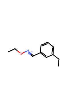 CCO/N=[C]/c1cccc(CC)c1